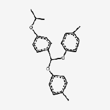 Cc1ccc(OC(Oc2ccc(C)cc2)c2ccc(OC(C)C)cc2)cc1